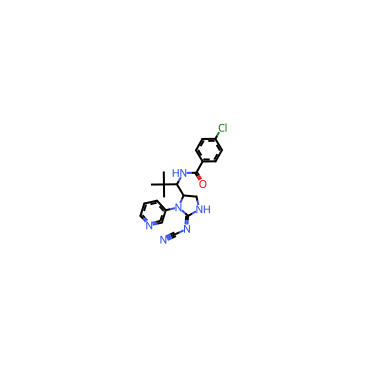 CC(C)(C)C(NC(=O)c1ccc(Cl)cc1)C1CNC(=NC#N)N1c1cccnc1